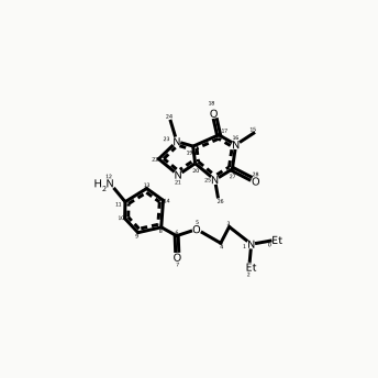 CCN(CC)CCOC(=O)c1ccc(N)cc1.Cn1c(=O)c2c(ncn2C)n(C)c1=O